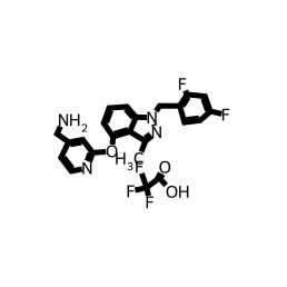 Cc1nn(Cc2ccc(F)cc2F)c2cccc(Oc3cc(CN)ccn3)c12.O=C(O)C(F)(F)F